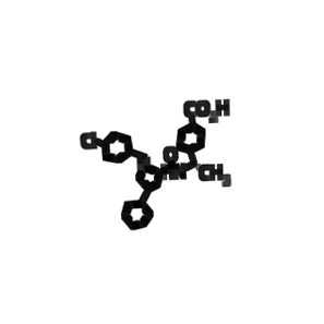 C[C@H](NC(=O)c1cc(-c2ccccc2)cn1Cc1ccc(Cl)cc1)c1ccc(C(=O)O)cc1